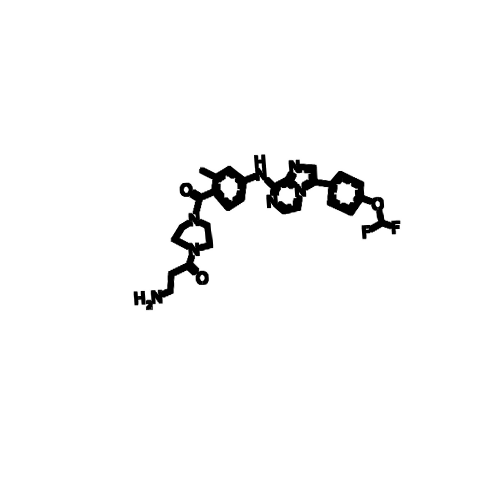 Cc1cc(Nc2nccn3c(-c4ccc(OC(F)F)cc4)cnc23)ccc1C(=O)N1CCN(C(=O)CCN)CC1